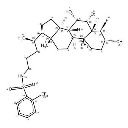 CC[C@H]1[C@@H](O)[C@@H]2[C@H](CC[C@]3(C)[C@@H]([C@H](C)CCCNS(=O)(=O)c4ccccc4C(F)(F)F)CC[C@@H]23)[C@@]2(C)CC[C@@H](O)[C@H](F)[C@@H]12